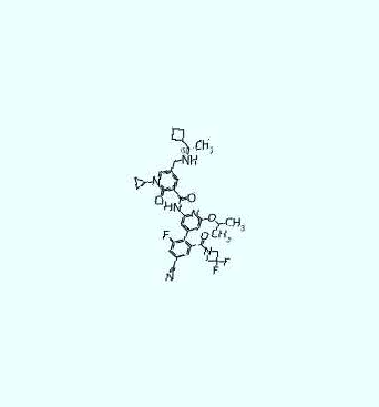 CC(C)Oc1cc(-c2c(F)cc(C#N)cc2C(=O)N2CC(F)(F)C2)cc(NC(=O)c2cc(CN[C@@H](C)C3CCC3)cn(C3CC3)c2=O)n1